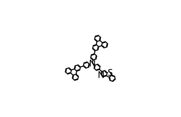 c1ccc2c(c1)sc1cc(-c3ccc(N(c4ccc(-c5ccc6c7ccccc7c7ccccc7c6c5)cc4)c4ccc(-c5ccc6c7ccccc7c7ccccc7c6c5)cc4)cc3)ncc12